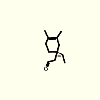 CC[C@@]1(CC=O)CCC(C)=C(C)C1